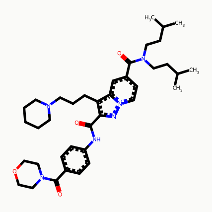 CC(C)CCN(CCC(C)C)C(=O)c1ccn2nc(C(=O)Nc3ccc(C(=O)N4CCOCC4)cc3)c(CCCN3CCCCC3)c2c1